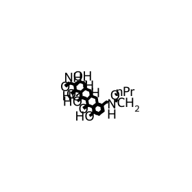 C=C(NCc1ccc(O)c2c1C[C@H]1C[C@H]3CC(O)=C(C(N)=O)C(=O)[C@@]3(O)C(O)=C1C2=O)OCCC